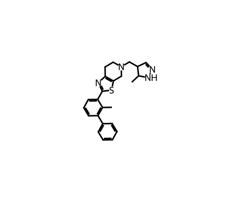 Cc1c(-c2ccccc2)cccc1-c1nc2c(s1)CN(CC1C=NNC1C)CC2